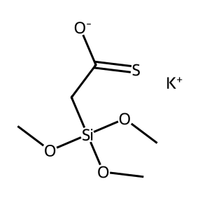 CO[Si](CC([O-])=S)(OC)OC.[K+]